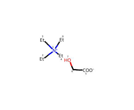 CC[N+](CC)(CC)CC.O=C([O-])CO